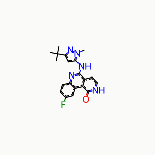 Cn1nc(C(C)(C)C)cc1Nc1nc2ccc(F)cc2c2c(=O)[nH]ccc12